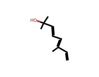 C=C/C(C)=C/C=C/C(C)(C)O